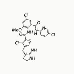 COc1cc(Cl)cc(C(=O)Nc2ccc(Cl)cn2)c1NC(=O)c1scc(CN2CCNC2=N)c1Cl